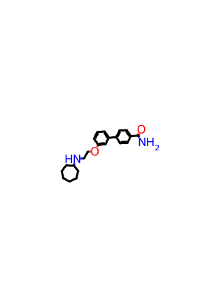 NC(=O)c1ccc(-c2cccc(OCCNC3CCCCCC3)c2)cc1